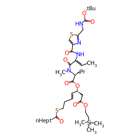 C/C=C(\NC(=O)c1csc(CNC(=O)OC(C)(C)C)n1)C(=O)N(C)[C@H](C(=O)O[C@H](/C=C/CCSC(=O)CCCCCCC)CC(=O)OCC[Si](C)(C)C)C(C)C